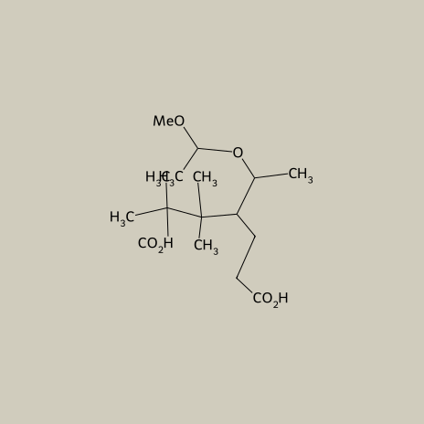 COC(C)OC(C)C(CCC(=O)O)C(C)(C)C(C)(C)C(=O)O